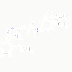 C=CCn1c(SCC(=O)NC2C=CC(C(C)(C)C)=CC2)nnc1-c1ccccc1